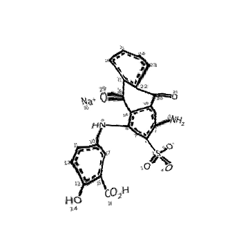 Nc1c(S(=O)(=O)[O-])cc(Nc2ccc(O)c(C(=O)O)c2)c2c1C(=O)c1ccccc1C2=O.[Na+]